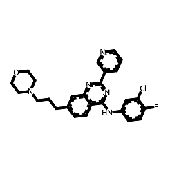 Fc1ccc(Nc2nc(-c3cccnc3)nc3cc(CCCN4CCOCC4)ccc23)cc1Cl